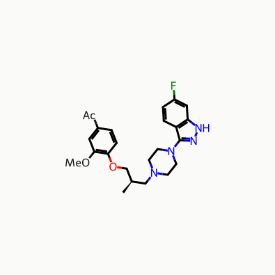 COc1cc(C(C)=O)ccc1OC[C@H](C)CN1CCN(c2n[nH]c3cc(F)ccc23)CC1